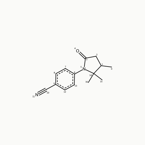 CC1CC(=O)N(c2ccc(C#N)cc2)C1(C)C